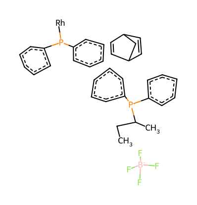 C1=CC2C=CC1C2.CCC(C)P(c1ccccc1)c1ccccc1.F[B-](F)(F)F.[Rh][P](c1ccccc1)c1ccccc1